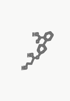 O=C(O)c1ccccc1-c1ccc(OC(O)CCO)cc1